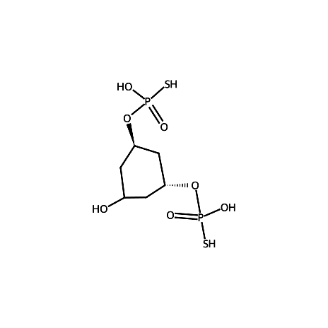 O=P(O)(S)O[C@@H]1CC(O)C[C@@H](OP(=O)(O)S)C1